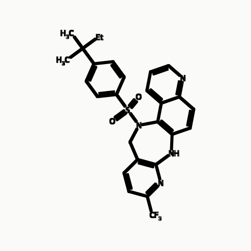 CCC(C)(C)c1ccc(S(=O)(=O)N2Cc3ccc(C(F)(F)F)nc3Nc3ccc4ncccc4c32)cc1